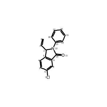 C=CC1c2ccc(Cl)cc2C(=O)N1c1ccccc1